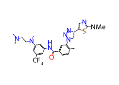 CNc1ncc(-c2cn(-c3cc(C(=O)Nc4cc(N(C)CCN(C)C)cc(C(F)(F)F)c4)ccc3C)nn2)s1